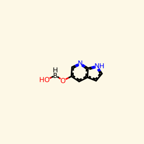 OBOc1cnc2[nH]ccc2c1